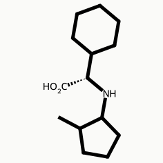 CC1CCCC1N[C@H](C(=O)O)C1CCCCC1